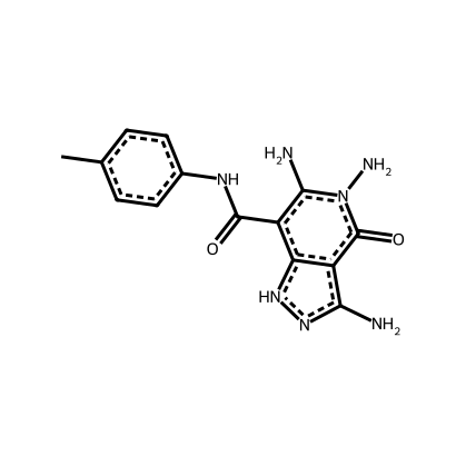 Cc1ccc(NC(=O)c2c(N)n(N)c(=O)c3c(N)n[nH]c23)cc1